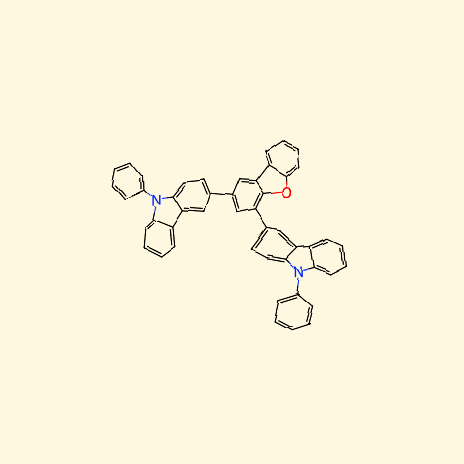 c1ccc(-n2c3ccccc3c3cc(-c4cc(-c5ccc6c(c5)c5ccccc5n6-c5ccccc5)c5oc6ccccc6c5c4)ccc32)cc1